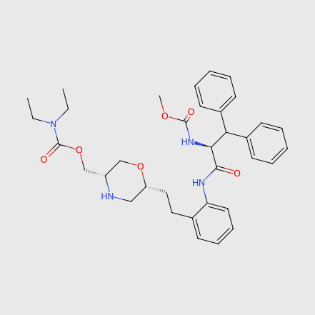 CCN(CC)C(=O)OC[C@@H]1CO[C@H](CCc2ccccc2NC(=O)[C@@H](NC(=O)OC)C(c2ccccc2)c2ccccc2)CN1